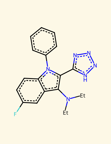 CCN(CC)c1c(-c2nnn[nH]2)n(-c2ccccc2)c2ccc(F)cc12